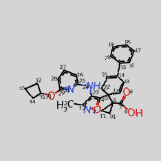 Cc1noc(C2(C3(C(=O)O)CC3)C=CC(c3ccccc3)=CC2)c1Nc1cccc(OC2CCC2)n1